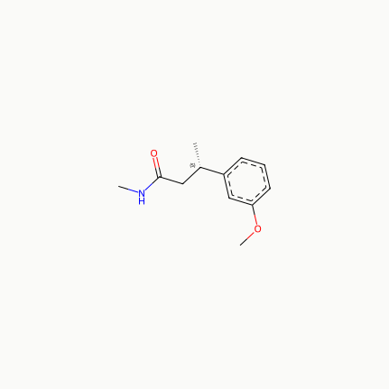 CNC(=O)C[C@H](C)c1cccc(OC)c1